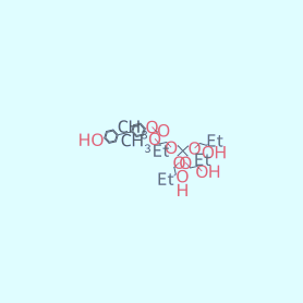 CCC(O)COCC(COCC(O)CC)(COCC(O)CC)COCC(CC)OC(=O)Oc1ccc(C(C)(C)c2ccc(O)cc2)cc1